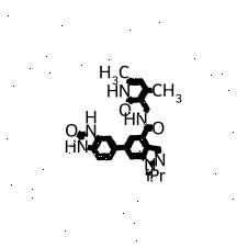 Cc1cc(C)c(CNC(=O)c2cc(-c3ccc4[nH]c(=O)[nH]c4c3)cc3c2cnn3C(C)C)c(=O)[nH]1